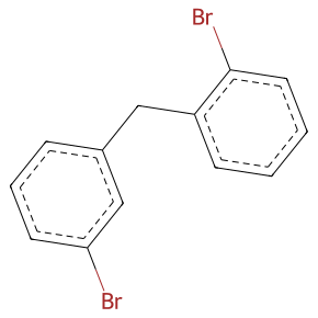 Brc1cccc(Cc2ccccc2Br)c1